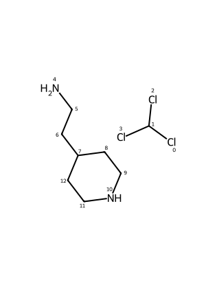 ClC(Cl)Cl.NCCC1CCNCC1